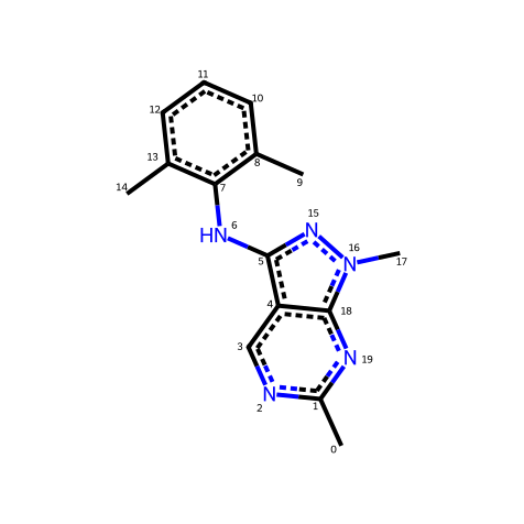 Cc1ncc2c(Nc3c(C)cccc3C)nn(C)c2n1